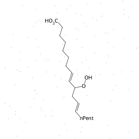 CCCCCC=CCC(C=CCCCCCCC(=O)O)OO